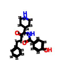 O=C(NC(C(=O)CCc1ccccc1)C1CCNCC1)c1ccc(O)cc1